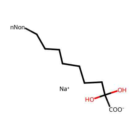 CCCCCCCCCCCCCCCCC(O)(O)C(=O)[O-].[Na+]